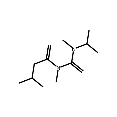 C=C(CC(C)C)N(C)C(=C)N(C)C(C)C